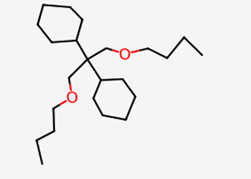 CCCCOCC(COCCCC)(C1CCCCC1)C1CCCCC1